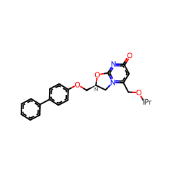 CC(C)OCc1cc(=O)nc2n1C[C@@H](COc1ccc(-c3ccccc3)cc1)O2